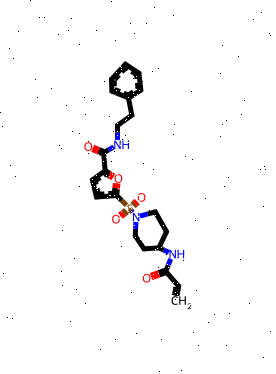 C=CC(=O)NC1CCN(S(=O)(=O)c2ccc(C(=O)NCCc3ccccc3)o2)CC1